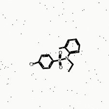 CCN(c1ccccc1C)S(=O)(=O)c1ccc(Cl)cc1